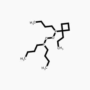 CCCCP(CCCC)OOP(CCCC)C1(CCC)CCC1